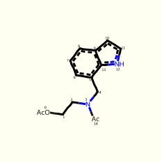 CC(=O)OCCN(Cc1cccc2cc[nH]c12)C(C)=O